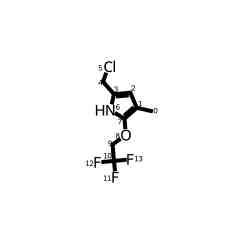 Cc1cc(CCl)[nH]c1OCC(F)(F)F